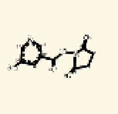 O=C(ON1C(=O)CCC1=O)c1cncc(Br)c1